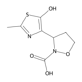 Cc1nc(C2CCON2C(=O)O)c(O)s1